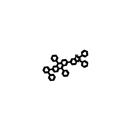 c1ccc(-c2ccccc2-c2ccc3c(-c4ccccc4)c4cc(-c5ccc6c(c5)nc(-c5ccccc5)n6-c5ccccc5)ccc4c(-c4ccccc4)c3c2)cc1